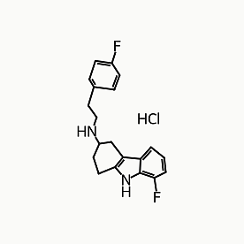 Cl.Fc1ccc(CCNC2CCc3[nH]c4c(F)cccc4c3C2)cc1